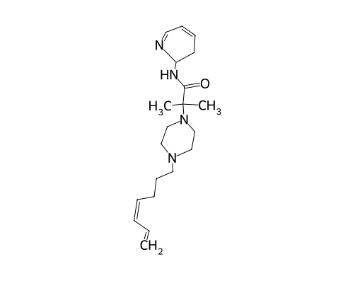 C=C/C=C\CCCN1CCN(C(C)(C)C(=O)NC2CC=CC=N2)CC1